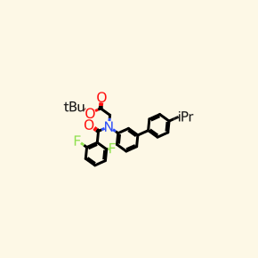 CC(C)c1ccc(-c2cccc(N(CC(=O)OC(C)(C)C)C(=O)c3c(F)cccc3F)c2)cc1